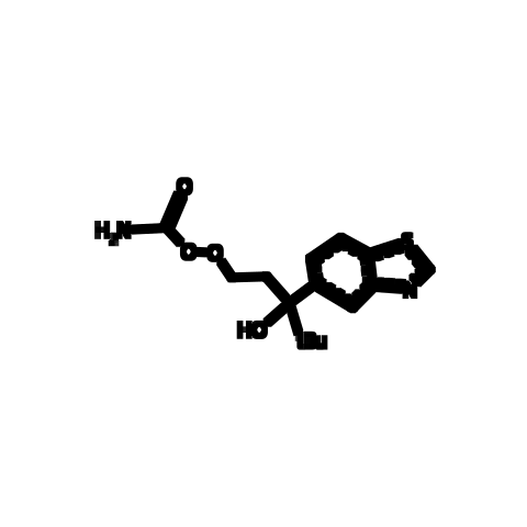 CC(C)(C)C(O)(CCOOC(N)=O)c1ccc2scnc2c1